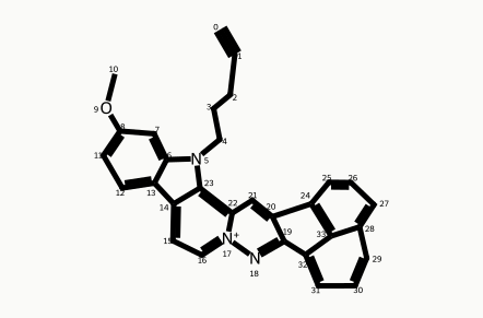 C#CCCCn1c2cc(OC)ccc2c2cc[n+]3nc4c(cc3c21)-c1cccc2cccc-4c12